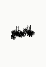 O=c1[nH]c2cc(-c3c(Cl)cccc3OCc3coc(Cc4ncc(-n5c(=O)[nH]c6cc(-c7c(Cl)cccc7OCc7cscn7)ccc6c5=O)c5ccccc45)n3)ccc2c(=O)n1-c1cncc2ccccc12